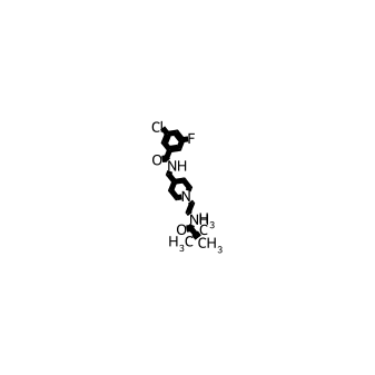 CC(C)(C)C(=O)NCCN1CCC(CNC(=O)c2cc(F)cc(Cl)c2)CC1